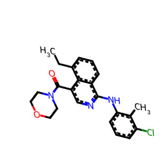 CCc1cccc2c(Nc3cccc(Cl)c3C)ncc(C(=O)N3CCOCC3)c12